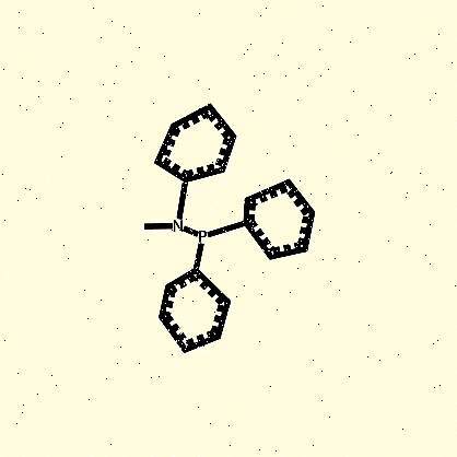 CN(c1ccccc1)P(c1ccccc1)c1ccccc1